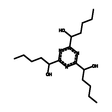 CCCCC(O)c1nc(C(O)CCCC)nc(C(O)CCCC)n1